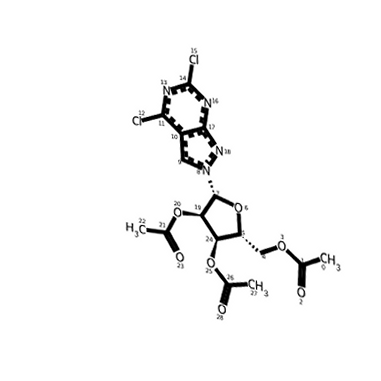 CC(=O)OC[C@H]1O[C@@H](n2cc3c(Cl)nc(Cl)nc3n2)[C@H](OC(C)=O)[C@@H]1OC(C)=O